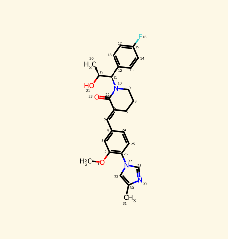 COc1cc(C=C2CCCN([C@H](c3ccc(F)cc3)[C@H](C)O)C2=O)ccc1-n1cnc(C)c1